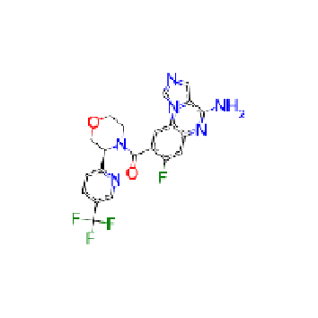 Nc1nc2cc(F)c(C(=O)N3CCOC[C@@H]3c3ccc(C(F)(F)F)cn3)cc2n2cncc12